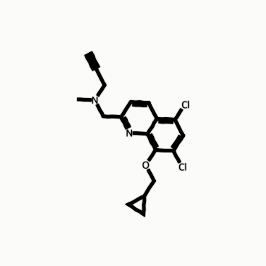 C#CCN(C)Cc1ccc2c(Cl)cc(Cl)c(OCC3CC3)c2n1